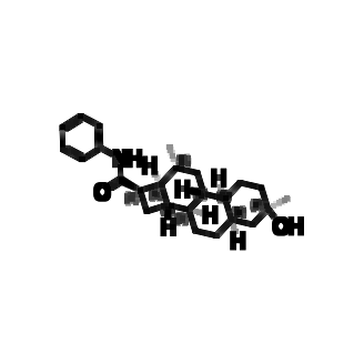 C[C@@H]1C[C@H]2[C@@H](CC[C@@H]3C[C@](C)(O)CC[C@@H]32)[C@@H]2C[C@@H](C(=O)Nc3ccccc3)[C@H]21